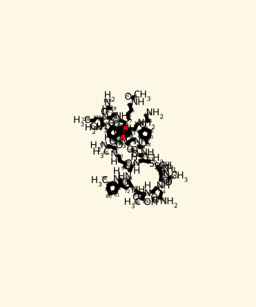 CC(=O)NCCCC[C@H](NC(=O)C(C)(CCCCN)NC(=O)[C@H](Cc1ccc2ccccc2c1)NC(=O)[C@H](Cc1ccc(OCCN)cc1)NC(=O)[C@H]1NC(=O)[C@H](CCCCNC(=O)C(C)(C)N)NC(=O)[C@H](Cc2c[nH]c3c(C)cccc23)NC(=O)[C@H]([C@@H](C)O)NC(=O)[C@H](CC(N)=O)NC(=O)[C@@H](NC(C)=O)C(C)(C)SSC1(C)C)C(=O)N[C@@H](CC(N)=O)C(=O)N[C@H](CC(C)C)C(N)=O